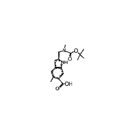 Cc1cc2cc(CN(C)C(=O)OC(C)(C)C)[nH]c2cc1C(=O)O